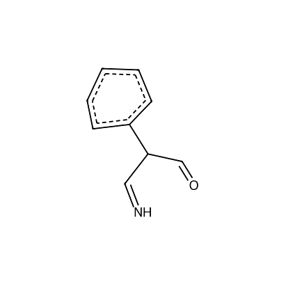 N=CC(C=O)c1ccccc1